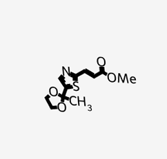 COC(=O)C=Cc1ncc(C2(C)OCCO2)s1